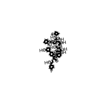 O=C(Nc1ccccc1F)OCC1O[C@@H](O[C@@H]2C(CO)O[C@@H](CS(=O)(=O)c3cc(-c4cccc(O)c4)ccc3[C@@H]3[C@@H](CC[C@H](O)c4ccc(F)cc4)C(=O)N3c3ccccc3)C(O)[C@H]2O)C(O)[C@@H](O)[C@@H]1OC(=O)Nc1ccccc1F